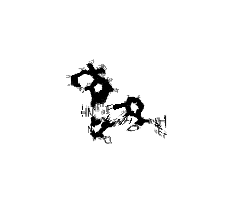 CCNC(=O)c1cccc(F)c1Nc1nc(Nc2cccc3c2OCCCC3(C)C)ncc1Cl